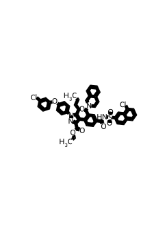 CCCCc1c(-c2ccc(C(=O)NS(=O)(=O)c3ccc4cccc(Cl)c4c3)cc2C(=O)N2CCc3ccccc3C2)c(C(=O)OCC)nn1-c1ccc(Oc2cccc(Cl)c2)cc1